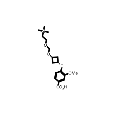 COc1cc(C(=O)O)ccc1O[C@H]1C[C@H](OCOCC[Si](C)(C)C)C1